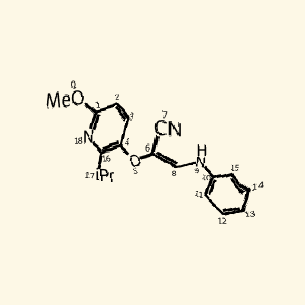 COc1ccc(O/C(C#N)=C/Nc2ccccc2)c(C(C)C)n1